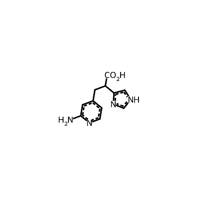 Nc1cc(CC(C(=O)O)c2c[nH]cn2)ccn1